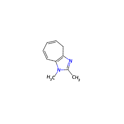 Cc1nc2c(n1C)C=CC=CC2